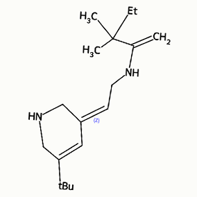 C=C(NC/C=C1/C=C(C(C)(C)C)CNC1)C(C)(C)CC